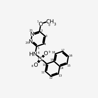 COc1ccc(NS(=O)(=O)c2cccc3ccccc23)nn1